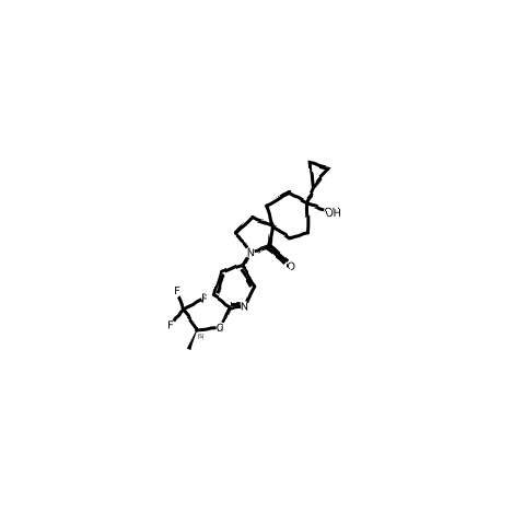 C[C@H](Oc1ccc(N2CCC3(CCC(O)(C4CC4)CC3)C2=O)cn1)C(F)(F)F